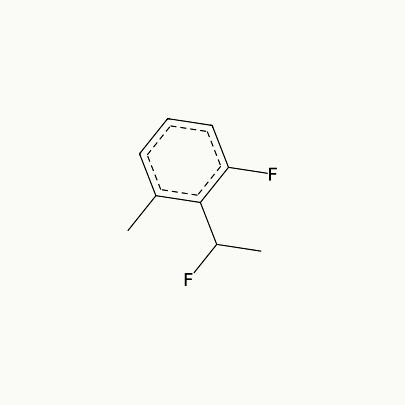 Cc1cccc(F)c1C(C)F